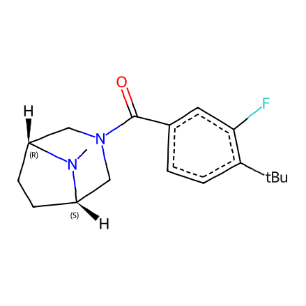 CN1[C@@H]2CC[C@H]1CN(C(=O)c1ccc(C(C)(C)C)c(F)c1)C2